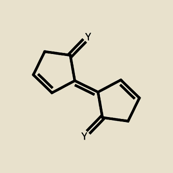 [Y]=[C]1CC=C/C1=C1/C=CC[C]1=[Y]